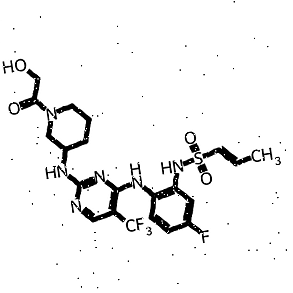 CC=CS(=O)(=O)Nc1cc(F)ccc1Nc1nc(NC2CCCN(C(=O)CO)C2)ncc1C(F)(F)F